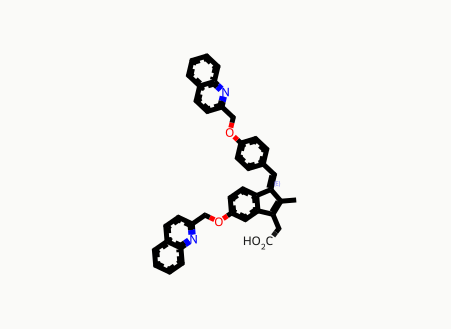 CC1=C(CC(=O)O)c2cc(OCc3ccc4ccccc4n3)ccc2/C1=C\c1ccc(OCc2ccc3ccccc3n2)cc1